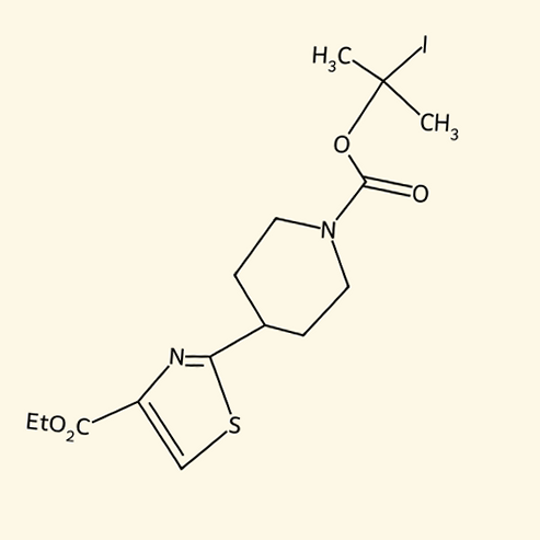 CCOC(=O)c1csc(C2CCN(C(=O)OC(C)(C)I)CC2)n1